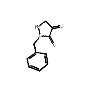 O=C1CNN(Cc2ccccc2)C1=O